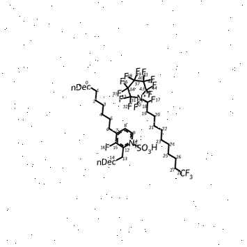 CCCCCCCCCCCCCCCCc1cc[n+](S(=O)(=O)O)c(CCCCCCCCCCC)c1F.FC(CCCCCCCCCC(F)(F)F)[N+]1(F)C(F)(F)C(F)(F)C(F)(F)C(F)(F)C1(F)F